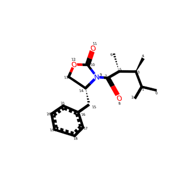 CC(C)[C@H](C)[C@@H](C)C(=O)N1C(=O)OC[C@H]1Cc1ccccc1